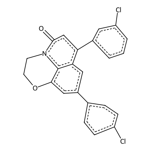 O=c1cc(-c2cccc(Cl)c2)c2cc(-c3ccc(Cl)cc3)cc3c2n1CCO3